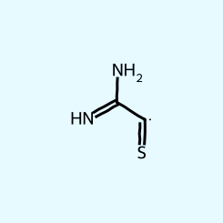 N=C(N)[C]=S